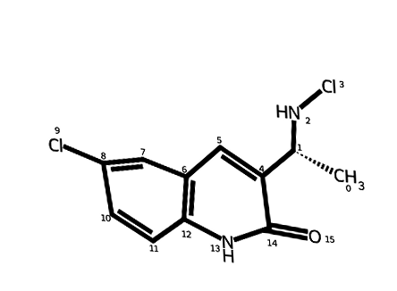 C[C@@H](NCl)c1cc2cc(Cl)ccc2[nH]c1=O